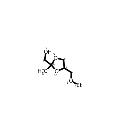 CCOCC1COC(C)(CO)O1